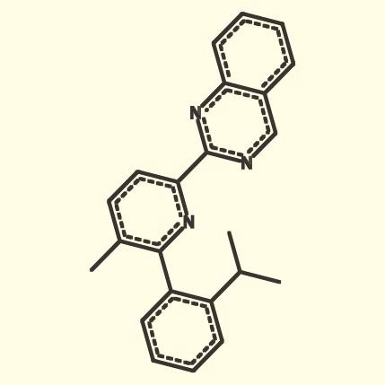 Cc1ccc(-c2ncc3ccccc3n2)nc1-c1ccccc1C(C)C